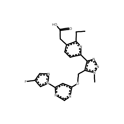 CCc1nc(-c2nnn(C)c2COc2cc(-n3cc(F)cn3)ncn2)ccc1CC(=O)O